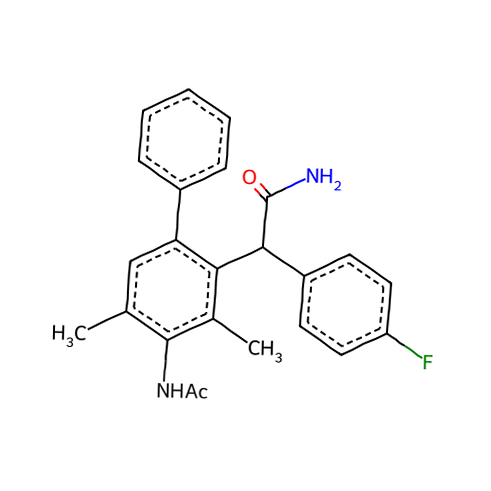 CC(=O)Nc1c(C)cc(-c2ccccc2)c(C(C(N)=O)c2ccc(F)cc2)c1C